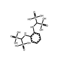 O=P(O)(O)C(Nc1ccccc1NC(P(=O)(O)O)P(=O)(O)O)P(=O)(O)O